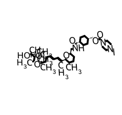 CO[C@H](C(C)OC(C)(C)C[C@H](C)/C=C/C=C(\C)[C@H]1O[C@@H](CNC(=O)[C@H]2CC[C@@H](COC(=O)N3CCN(I)CC3)CC2)CC[C@@H]1C)[C@@H](C)O